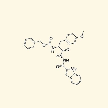 COc1ccc(CC(NC(=O)OCc2ccccc2)C(=O)NNC(=O)c2cc3ccccc3[nH]2)cc1